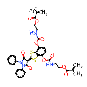 C=C(C)C(=O)OCCNC(=O)Oc1ccc(OC(=O)NCCOC(=O)C(=C)C)c2c1SC(=C1C(=O)N(c3ccccc3)N(c3ccccc3)C1=O)S2